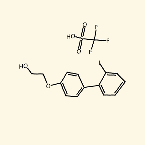 O=S(=O)(O)C(F)(F)F.OCCOc1ccc(-c2ccccc2I)cc1